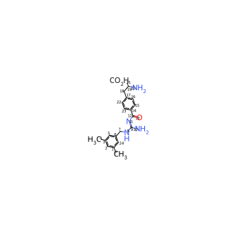 Cc1cc(C)cc(CNC(N)=NC(=O)c2ccc(CC(N)C(=O)O)cc2)c1